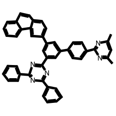 Cc1cc(C)nc(-c2ccc(-c3cc(-c4ccc5ccc6ccccc6c5c4)cc(-c4nc(-c5ccccc5)nc(-c5ccccc5)n4)c3)cc2)n1